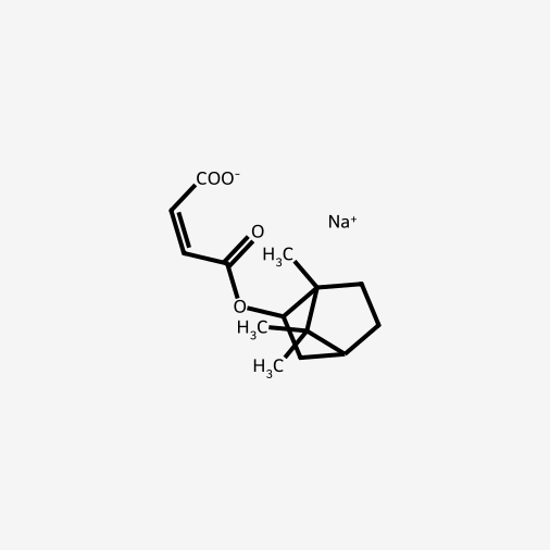 CC1(C)C2CCC1(C)C(OC(=O)/C=C\C(=O)[O-])C2.[Na+]